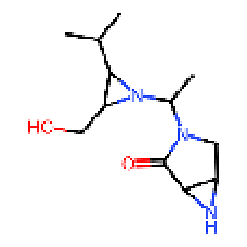 CC(C)C1C(CO)N1C(C)N1CC2NC2C1=O